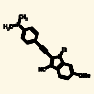 CCn1c(C#Cc2ccc(N(C)C)cc2)c(C#N)c2ccc(OC)cc21